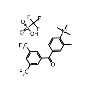 Cc1cc(C(=O)c2cc(C(F)(F)F)cc(C(F)(F)F)c2)ccc1[N+](C)(C)C.O=S(=O)(O)C(F)(F)F